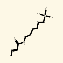 CC=CC(=O)OCCCCCC[Si](F)(F)F